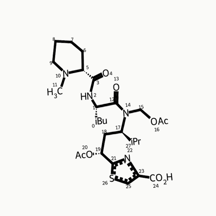 CCC(C)[C@H](NC(=O)[C@H]1CCCCN1C)C(=O)N(COC(C)=O)[C@H](C[C@@H](OC(C)=O)c1nc(C(=O)O)cs1)C(C)C